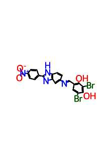 O=[N+]([O-])c1ccc(-c2nc3cc(/N=C/c4cc(Br)c(O)c(Br)c4O)ccc3[nH]2)cc1